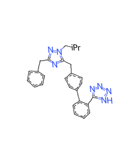 CC(C)Cn1nc(Cc2ccccc2)nc1Cc1ccc(-c2ccccc2-c2nnn[nH]2)cc1